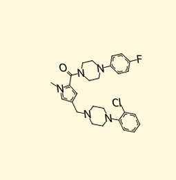 Cn1cc(CN2CCN(c3ccccc3Cl)CC2)cc1C(=O)N1CCN(c2ccc(F)cc2)CC1